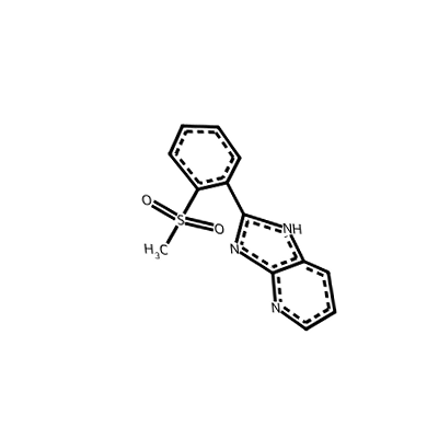 CS(=O)(=O)c1ccccc1-c1nc2ncccc2[nH]1